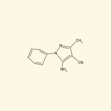 Cc1nn(-c2ccccc2)c(N)c1C#N